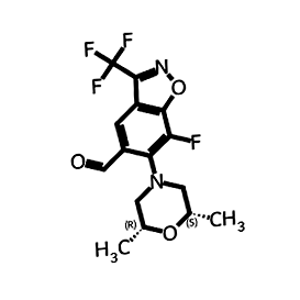 C[C@@H]1CN(c2c(C=O)cc3c(C(F)(F)F)noc3c2F)C[C@H](C)O1